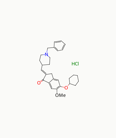 COc1cc2c(cc1OC1CCCCC1)CC(=CC1CCN(Cc3ccccc3)CC1)C2=O.Cl